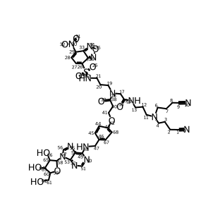 N#CCCCN(CCCC#N)CCCNC(=O)CN(CCCNS(=O)(=O)c1ccc([N+](=O)[O-])c2nonc12)C(=O)CCOc1ccc(CNc2ncnc3c2ncn3C2OC(CO)C(O)C2O)cc1